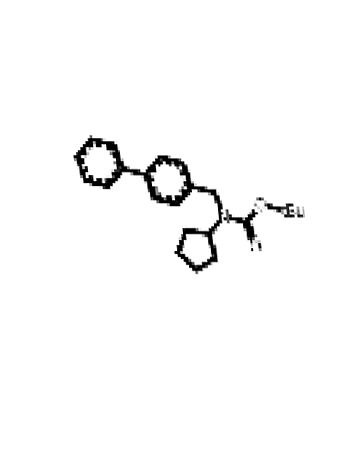 CC(C)(C)OC(=O)N(Cc1ccc(-c2ccccc2)cc1)C1CCCC1